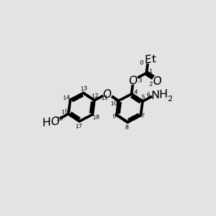 CCC(=O)Oc1c(N)cccc1Oc1ccc(O)cc1